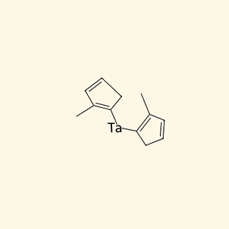 CC1=[C]([Ta][C]2=C(C)C=CC2)CC=C1